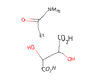 CCC(=O)NC.O=C(O)C(O)C(O)C(=O)O